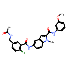 CCCn1c(C(=O)Nc2cccc(OC(F)(F)F)c2)cc2cc(NC(=O)c3cc(CNC(=O)C(C)C)ccc3Cl)ccc21